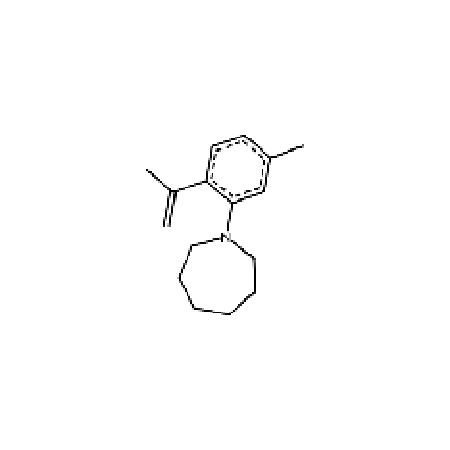 C=C(C)c1ccc(C)cc1N1CCCCCC1